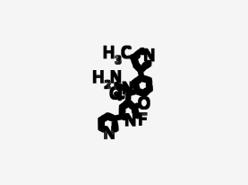 Cc1cncc(-c2ccc3c(c2)[C@@]2(COC(N)=N2)c2cc(-c4cccnc4)nc(F)c2O3)c1